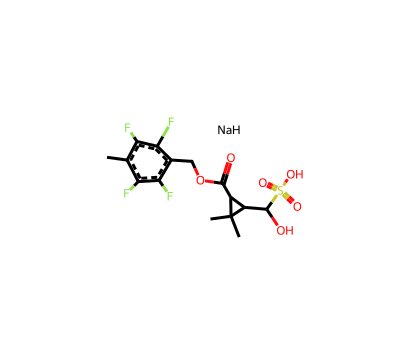 Cc1c(F)c(F)c(COC(=O)C2C(C(O)S(=O)(=O)O)C2(C)C)c(F)c1F.[NaH]